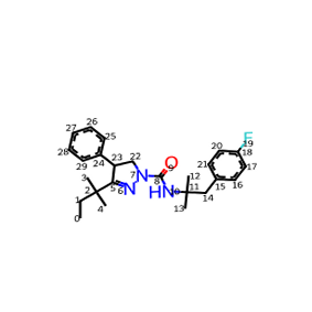 CCC(C)(C)C1=NN(C(=O)NC(C)(C)Cc2ccc(F)cc2)CC1c1ccccc1